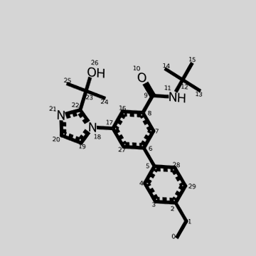 CCc1ccc(-c2cc(C(=O)NC(C)(C)C)cc(-n3ccnc3C(C)(C)O)c2)cc1